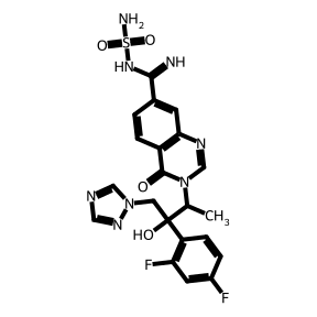 CC(n1cnc2cc(C(=N)NS(N)(=O)=O)ccc2c1=O)C(O)(Cn1cncn1)c1ccc(F)cc1F